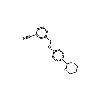 N#Cc1cccc(COc2ccc(C3OCCCO3)cc2)c1